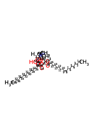 CCCCCCCC/C=C\CCCCCCCC(=O)O[C@@H](COC(=O)CCCCCCCCCCCCCCC)CC(C[N+](C)(C)C)OP(=O)(O)O